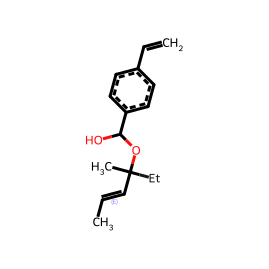 C=Cc1ccc(C(O)OC(C)(/C=C/C)CC)cc1